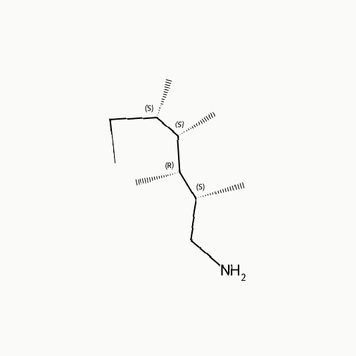 CC[C@H](C)[C@H](C)[C@@H](C)[C@H](C)CN